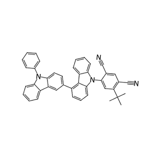 CC(C)(C)c1cc(-n2c3ccccc3c3c(-c4ccc5c(c4)c4ccccc4n5-c4ccccc4)cccc32)c(C#N)cc1C#N